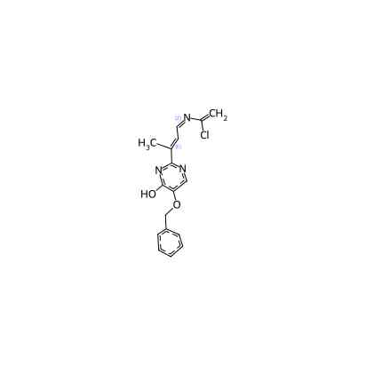 C=C(Cl)/N=C\C=C(/C)c1ncc(OCc2ccccc2)c(O)n1